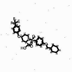 O=C(O)[C@H]1C[C@@H](Oc2ccc(C(F)(F)F)cc2)CCN1S(=O)(=O)c1ccc(OCC2CCCCC2)cc1